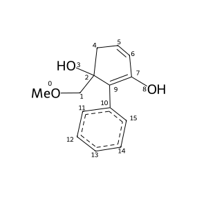 COCC1(O)CC=CC(O)=C1c1ccccc1